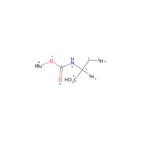 [2H]CC([2H])(NC(=O)OC(C)(C)C)C(=O)O